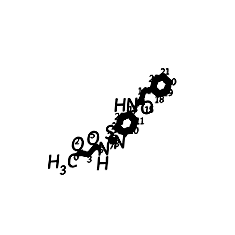 CC(=O)CC(=O)Nc1nc2ccc(NC(=O)Cc3ccccc3)cc2s1